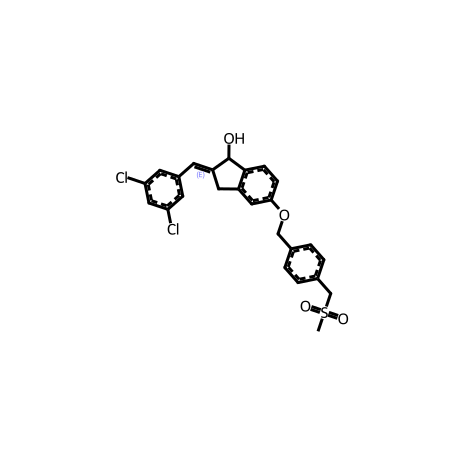 CS(=O)(=O)Cc1ccc(COc2ccc3c(c2)C/C(=C\c2cc(Cl)cc(Cl)c2)C3O)cc1